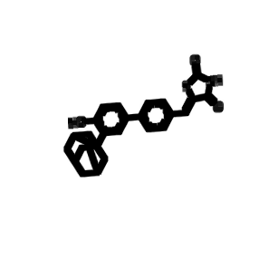 O=C1NC(=O)/C(=C/c2ccc(-c3ccc(O)c(C45CC6CC(CC(C6)C4)C5)c3)cc2)S1